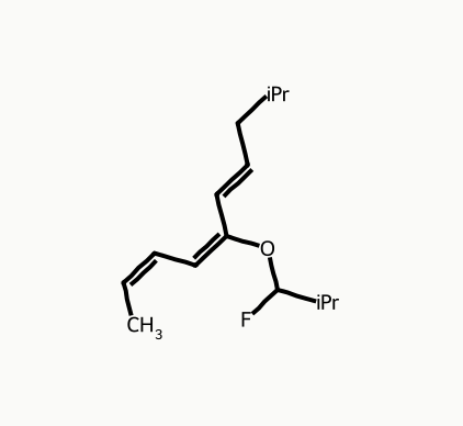 C\C=C/C=C(\C=C\CC(C)C)OC(F)C(C)C